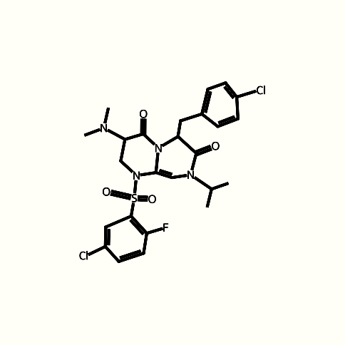 CC(C)N1C=C2N(C(=O)C(N(C)C)CN2S(=O)(=O)c2cc(Cl)ccc2F)C(Cc2ccc(Cl)cc2)C1=O